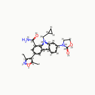 Cc1noc(C)c1-c1cc(C(N)=O)c2c(c1)c1ccc(N3CCOC3=O)cc1n2CC1CC1